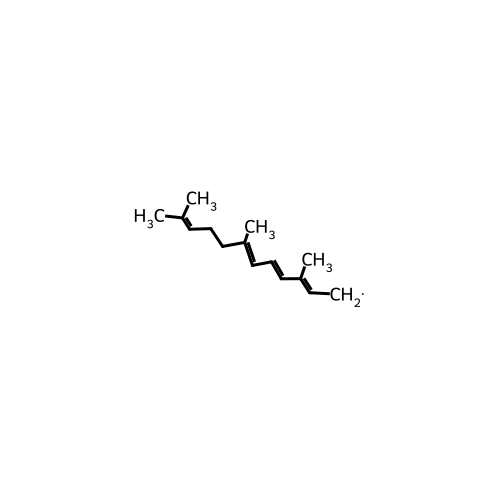 [CH2]/C=C(C)/C=C/C=C(\C)CCC=C(C)C